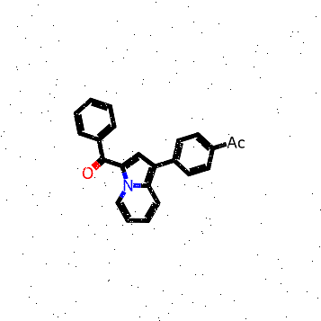 CC(=O)c1ccc(-c2cc(C(=O)c3ccccc3)n3ccccc23)cc1